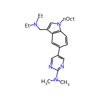 CCCCCCCCn1cc(CN(CC)CC)c2cc(-c3cnc(N(C)C)nc3)ccc21